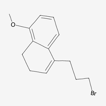 COc1cccc2c1CCC=C2CCCBr